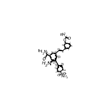 CCCC(=O)Oc1cccc(/C=C/c2cc(C(N)=O)c(N)c(-c3ccc(S(N)(=O)=O)cc3)c2)c1